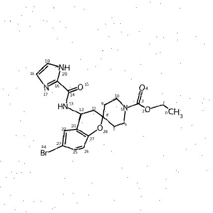 CCOC(=O)N1CCC2(CC1)CC(NC(=O)c1ncc[nH]1)c1cc(Br)ccc1O2